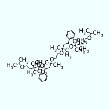 CC(C)OCCC(C)(C)C(C)(C)OC(CC(C)(C)OCCOC(C)(C)CC(OC(C)(C)C(C)(C)CCOC(C)C)c1ccccc1)c1ccccc1